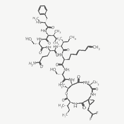 C=CCCCCC[C@H](NC(=O)[C@H](NC(=O)[C@@H](CCC(N)=O)NC(=O)[C@H](CO)NC(=O)[C@@H](NC(=O)[C@@H](Cc1ccccc1)NC)[C@@H](C)CC)[C@@H](C)CC)C(=O)N[C@@H](CO)C(=O)N[C@H]1C(=O)N[C@@H](C)C(=O)N[C@@]2(C[C@H]2CC(F)F)C(=O)N[C@@H]([C@@H](C)CC)C(=O)O[C@H]1C